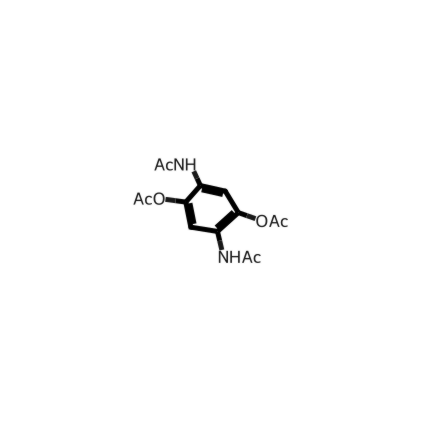 CC(=O)Nc1cc(OC(C)=O)c(NC(C)=O)cc1OC(C)=O